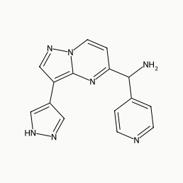 NC(c1ccncc1)c1ccn2ncc(-c3cn[nH]c3)c2n1